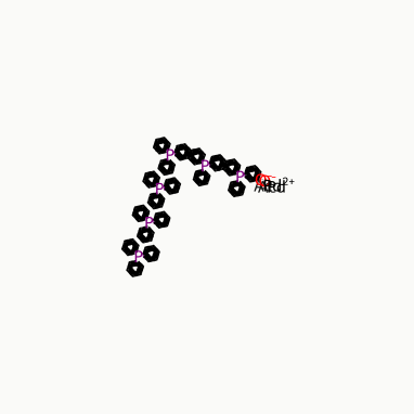 CC(=O)[O-].CC(=O)[O-].[Pd+2].[Pd].c1ccc(P(c2ccccc2)c2ccccc2)cc1.c1ccc(P(c2ccccc2)c2ccccc2)cc1.c1ccc(P(c2ccccc2)c2ccccc2)cc1.c1ccc(P(c2ccccc2)c2ccccc2)cc1.c1ccc(P(c2ccccc2)c2ccccc2)cc1.c1ccc(P(c2ccccc2)c2ccccc2)cc1